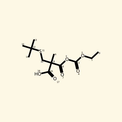 CCOC(=O)OC(=O)C(C)(CSC(C)(C)C)C(=O)O